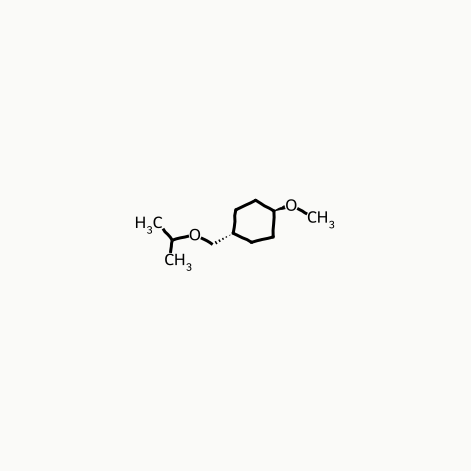 CO[C@H]1CC[C@H](COC(C)C)CC1